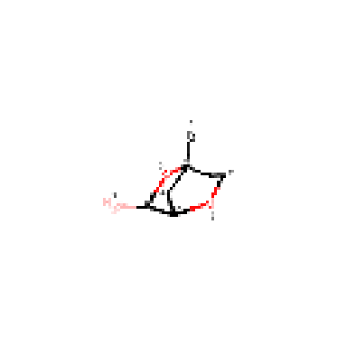 BC1OC2(CC)COC1C2